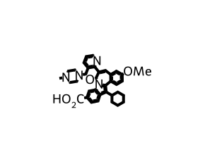 COc1ccc2c(c1)C=C(c1ncccc1C(=O)N1CCN(C)CC1)Cn1c-2c(C2CCCCC2)c2ccc(C(=O)O)cc21